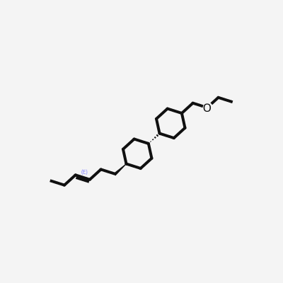 CC/C=C/CC[C@H]1CC[C@H](C2CCC(COCC)CC2)CC1